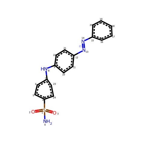 NS(=O)(=O)c1ccc(Nc2ccc(/N=N/c3ccccc3)cc2)cc1